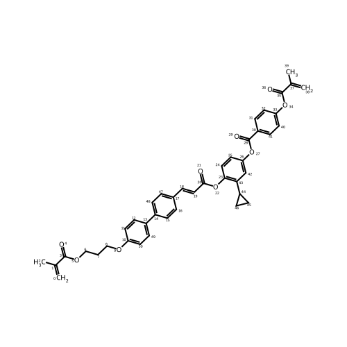 C=C(C)C(=O)OCCCOc1ccc(-c2ccc(/C=C/C(=O)Oc3ccc(OC(=O)c4ccc(OC(=O)C(=C)C)cc4)cc3C3CC3)cc2)cc1